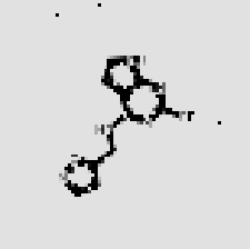 Clc1nc(NCc2ccno2)c2cc[nH]c2n1